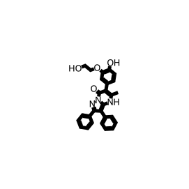 Cc1[nH]c2c(-c3ccccc3)c(-c3ccccc3)nn2c(=O)c1-c1ccc(O)c(OCCO)c1